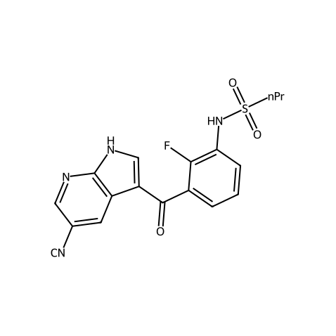 [C-]#[N+]c1cnc2[nH]cc(C(=O)c3cccc(NS(=O)(=O)CCC)c3F)c2c1